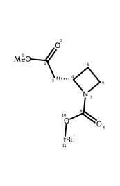 COC(=O)C[C@@H]1CCN1C(=O)OC(C)(C)C